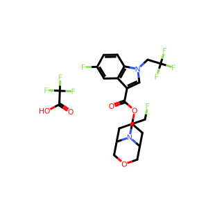 O=C(O)C(F)(F)F.O=C(OC1CC2COCC(C1)N2CCF)c1cn(CC(F)(F)F)c2ccc(F)cc12